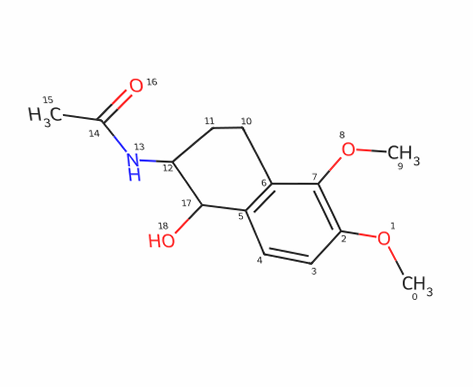 COc1ccc2c(c1OC)CCC(NC(C)=O)C2O